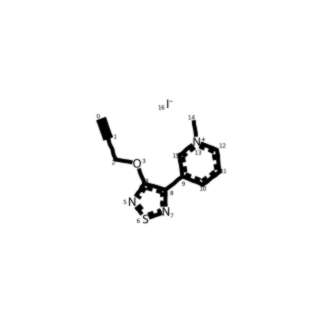 C#CCOc1nsnc1-c1ccc[n+](C)c1.[I-]